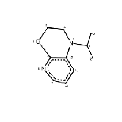 CC(C)N1CCOc2ncccc21